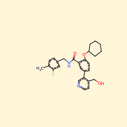 Cc1ccc(CNC(=O)c2cc(-c3cnccc3CO)ccc2OC2CCCCC2)cc1F